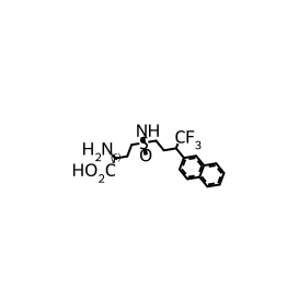 N=S(=O)(CCC(c1ccc2ccccc2c1)C(F)(F)F)CC[C@H](N)C(=O)O